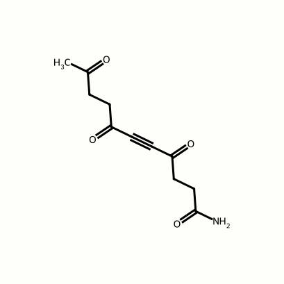 CC(=O)CCC(=O)C#CC(=O)CCC(N)=O